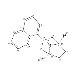 CN1[C@@H]2CC[C@H]1C[C@H](c1cccc3cccnc13)C2